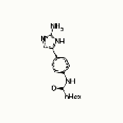 CCCCCCC(=O)Nc1ccc(-c2cnc(N)[nH]2)cc1